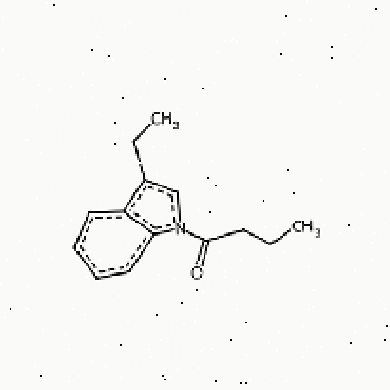 CCCC(=O)n1cc(CC)c2ccccc21